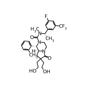 Cc1ccccc1[C@H]1[C@@H]2CC(CCO)(CCO)C(=O)N2CCN1C(=O)N(C)[C@@H](C)c1cc(F)cc(C(F)(F)F)c1